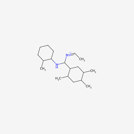 C/C=N\C(NC1CCCCC1C)C1CC(C)C(C)CC1C